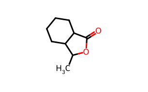 CC1OC(=O)C2CCCCC12